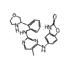 Cc1cnc(Nc2ccccc2C2COCCN2)nc1Nc1ccc2oc(=O)[nH]c2c1